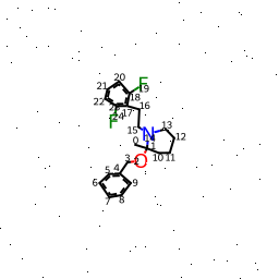 CC1(OCc2ccccc2)CCCCN1CCc1c(F)cccc1F